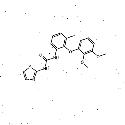 COc1cccc(Oc2c(C)cccc2NC(=O)Nc2nccs2)c1OC